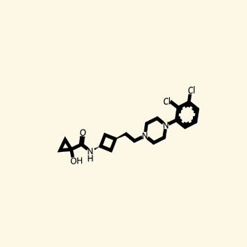 O=C(N[C@H]1C[C@H](CCN2CCN(c3cccc(Cl)c3Cl)CC2)C1)C1(O)CC1